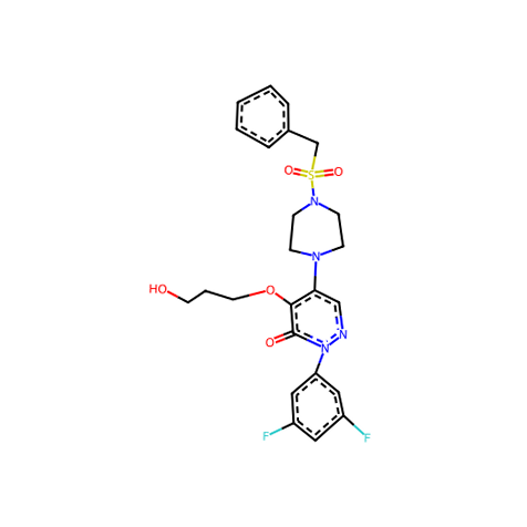 O=c1c(OCCCO)c(N2CCN(S(=O)(=O)Cc3ccccc3)CC2)cnn1-c1cc(F)cc(F)c1